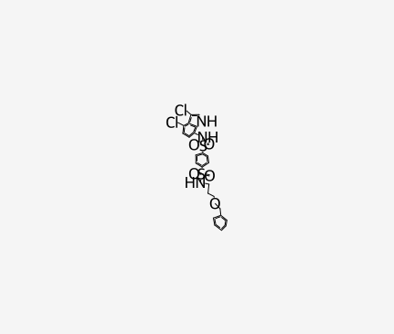 O=S(=O)(NCCCOCc1ccccc1)c1ccc(S(=O)(=O)Nc2ccc(Cl)c3c(Cl)c[nH]c23)cc1